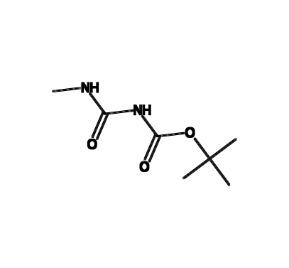 CNC(=O)NC(=O)OC(C)(C)C